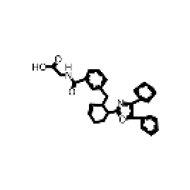 O=C(O)CNC(=O)c1cccc(CC2C=CCCC2c2nc(-c3ccccc3)c(-c3ccccc3)o2)c1